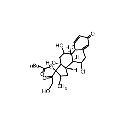 CCCCC(=O)O[C@]1(C(=O)CO)C(C)C[C@H]2[C@@H]3C(Cl)CC4=CC(=O)C=C[C@]4(C)[C@H]3C(O)C[C@@]21C